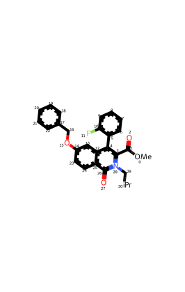 COC(=O)c1c(-c2ccccc2F)c2cc(OCc3ccccc3)ccc2c(=O)n1CC(C)C